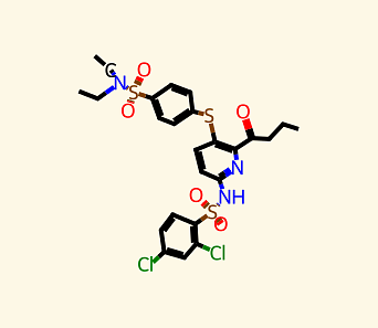 CCCC(=O)c1nc(NS(=O)(=O)c2ccc(Cl)cc2Cl)ccc1Sc1ccc(S(=O)(=O)N(CC)CC)cc1